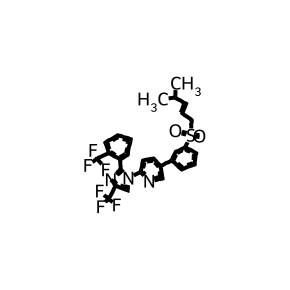 CC(C)C=CCS(=O)(=O)c1cccc(-c2ccc(-n3cc(C(F)(F)F)nc3-c3ccccc3C(F)(F)F)nc2)c1